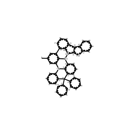 Cc1cc2c3c(c1)N1c4ccccc4C(c4ccccc4)(c4ccccc4)c4cccc(c41)B3n1c3sc4ccccc4c3c3cccc-2c31